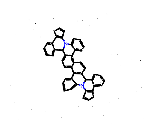 C1=CC2=C(C1)c1ccccc1C1c3ccc4c5c(ccc4c3-c3ccccc3N21)C1c2ccccc2C2=C(C=CC2)N1c1ccccc1-5